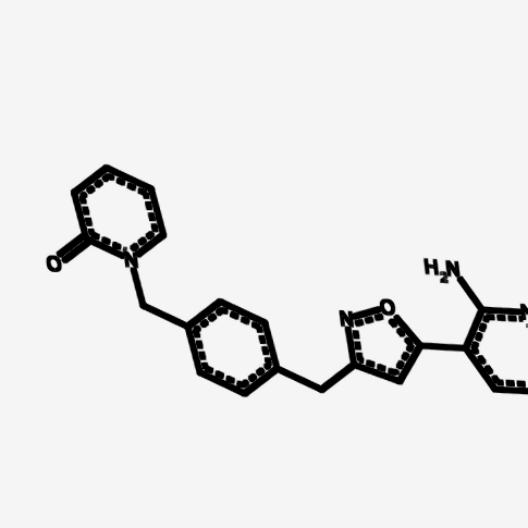 Nc1ncccc1-c1cc(Cc2ccc(Cn3ccccc3=O)cc2)no1